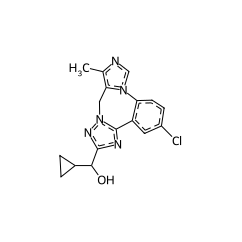 Cc1ncn2c1Cn1nc(C(O)C3CC3)nc1-c1cc(Cl)ccc1-2